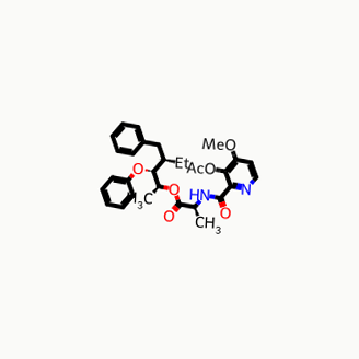 CC[C@H](Cc1ccccc1)[C@@H](Oc1ccccc1)[C@H](C)OC(=O)[C@H](C)NC(=O)c1nccc(OC)c1OC(C)=O